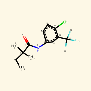 CCC(C)(C)C(=O)Nc1ccc(Cl)c(C(F)(F)F)c1